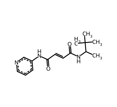 CC(NC(=O)/C=C/C(=O)Nc1cccnc1)C(C)(C)C